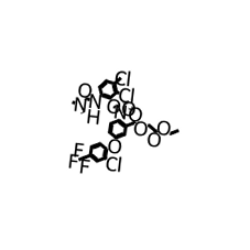 CCOC(=O)COC(=O)c1cc(Oc2ccc(C(F)(F)F)cc2Cl)ccc1[N+](=O)[O-].CN(C)C(=O)Nc1ccc(Cl)c(Cl)c1